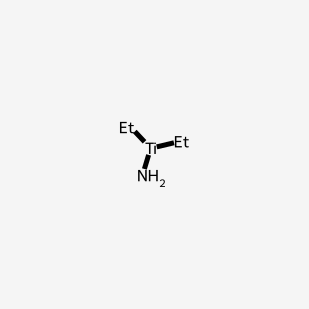 C[CH2][Ti]([NH2])[CH2]C